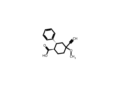 C#CC1(OC)CC[C@@H](C(=O)O)[C@H](c2ccccc2)C1